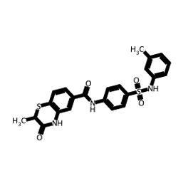 Cc1cccc(NS(=O)(=O)c2ccc(NC(=O)c3ccc4c(c3)NC(=O)C(C)S4)cc2)c1